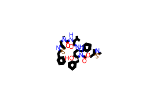 CC(C)[C@H](NC(=O)N(C)Cc1csc(Cc2ccccc2)n1)C(=O)N[C@@H](Cc1ccccc1)C[C@H](O)[C@H](Cc1ccccc1)NC(=O)OCc1cncs1